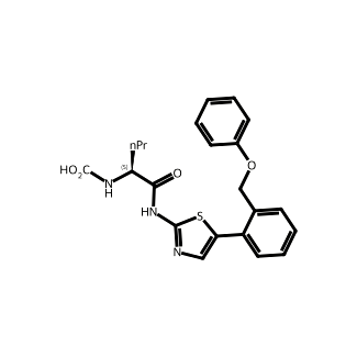 CCC[C@H](NC(=O)O)C(=O)Nc1ncc(-c2ccccc2COc2ccccc2)s1